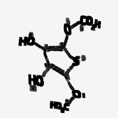 O=C(O)Oc1sc(OC(=O)O)c(O)c1O